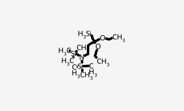 CCOC([SiH3])(CCN([Si](C)(C)C)[Si](C)(C)C)OCC